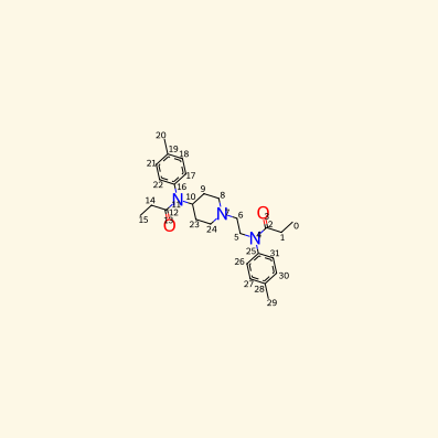 CCC(=O)N(CCN1CCC(N(C(=O)CC)c2ccc(C)cc2)CC1)c1ccc(C)cc1